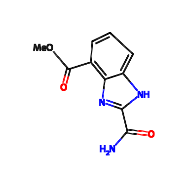 COC(=O)c1cccc2[nH]c(C(N)=O)nc12